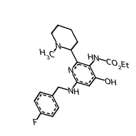 CCOC(=O)Nc1c(O)cc(NCc2ccc(F)cc2)nc1C1CCCCN1C